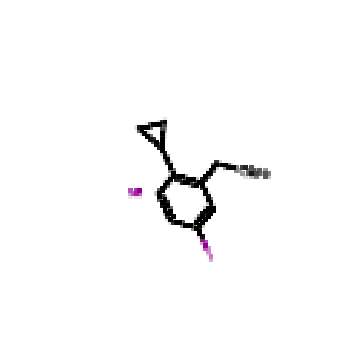 COCc1cc(I)ccc1C1CC1.I